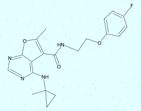 Cc1oc2ncnc(NC3(C)CC3)c2c1C(=O)NCCOc1ccc(F)cc1